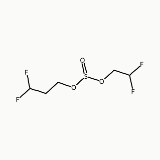 O=S(OCCC(F)F)OCC(F)F